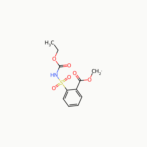 [CH2]OC(=O)c1ccccc1S(=O)(=O)NC(=O)OCC